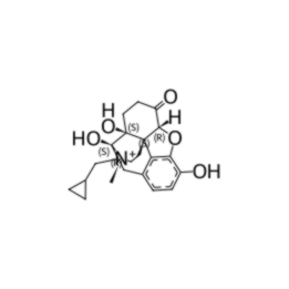 C[N@+]1(CC2CC2)CC[C@]23c4c5ccc(O)c4O[C@H]2C(=O)CC[C@@]3(O)[C@@]1(O)C5